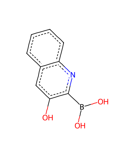 OB(O)c1nc2ccccc2cc1O